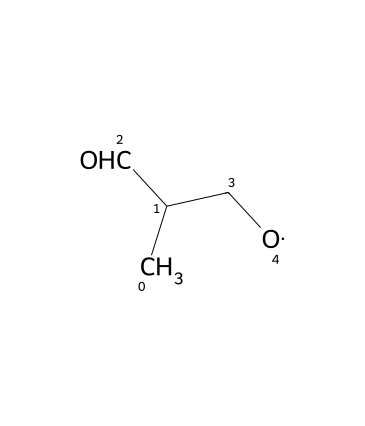 CC(C=O)C[O]